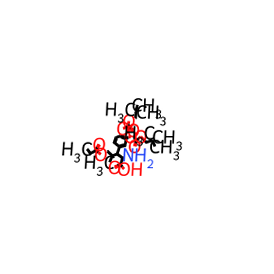 CCC(=O)OCC(C)C(c1ccc(OC(=O)OCC(C)(C)C)c(OC(=O)OCC(C)(C)C)c1)[C@H](N)C(=O)O